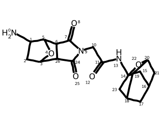 NC1CC2OC1C1C(=O)N(CC(=O)NC34CC5CC(CC(C5)O3)C4)C(=O)C21